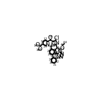 CCCCc1nc(Cl)c(C(=O)c2ccc(C(OC)OC)cn2)n1Cc1ccc(-c2ccccc2)c(-c2nnnn2C(C)OCC)c1